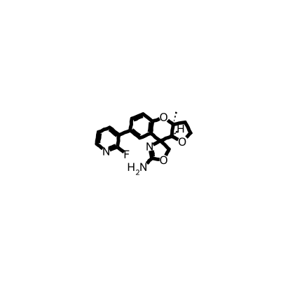 C[C@]12CCO[C@H]1C1(COC(N)=N1)c1cc(-c3cccnc3F)ccc1O2